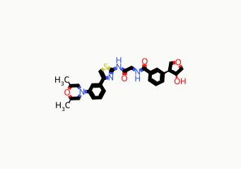 C[C@@H]1CN(c2cccc(-c3csc(NC(=O)CNC(=O)c4cccc([C@H]5COC[C@H]5O)c4)n3)c2)C[C@H](C)O1